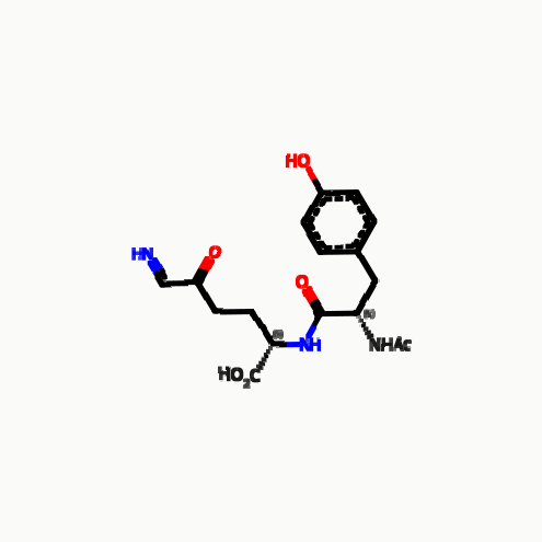 CC(=O)N[C@@H](Cc1ccc(O)cc1)C(=O)N[C@@H](CCC(=O)C=N)C(=O)O